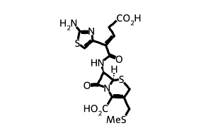 CSCC1=C(C(=O)O)N2C(=O)[C@@H](NC(=O)/C(=C/CC(=O)O)c3csc(N)n3)[C@H]2SC1